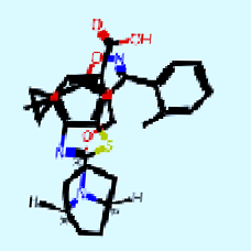 Cc1ccccc1-c1noc(C2CC2)c1CO[C@H]1C[C@H]2CC[C@@H](C1)N2c1nc2c(C)cc(C(=O)O)cc2s1